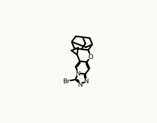 Brc1nnc2cc(OC3C4CC5CC(C4)CC3C5)c(C3CC3)cn12